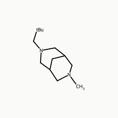 CN1CC2CC(C1)CN(CC(C)(C)C)C2